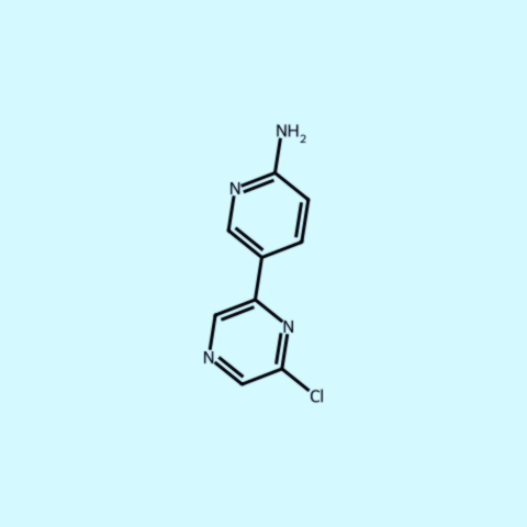 Nc1ccc(-c2cncc(Cl)n2)cn1